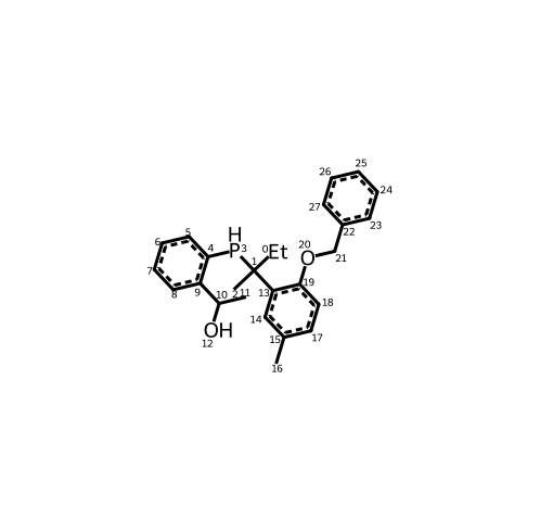 CCC(C)(Pc1ccccc1C(C)O)c1cc(C)ccc1OCc1ccccc1